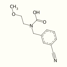 COCCN(Cc1cccc(C#N)c1)C(=O)O